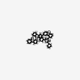 c1ccc(-c2nc(-c3ccccc3)nc(-c3cccc4oc5ccc(-c6ccc7c(c6)c6ccccc6n7-c6cccc7c6oc6ccccc67)cc5c34)n2)cc1